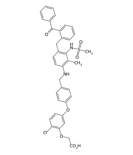 Cc1c(NCc2ccc(Oc3ccc(Cl)c(OCC(=O)O)c3)cc2)ccc(Cc2ccccc2C(=O)c2ccccc2)c1NS(C)(=O)=O